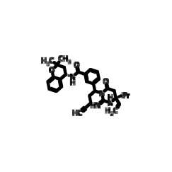 C#CCCC(c1cccc(C(=O)N[C@H]2CC(C)(C)Oc3ccccc32)c1)N1C(=N)N[C@](C=C)(C(C)C)CC1=O